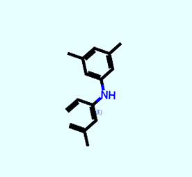 C=C/C(=C\C(=C)C)Nc1cc(C)cc(C)c1